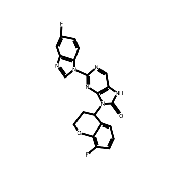 O=c1[nH]c2cnc(-n3cnc4cc(F)ccc43)nc2n1C1CCOc2c(F)cccc21